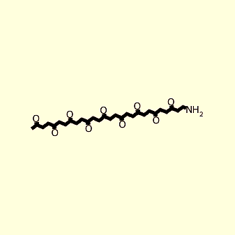 CC(=O)CCC(=O)CCC(=O)CCC(=O)CCC(=O)CCC(=O)CCC(=O)CCC(=O)CCC(=O)CCN